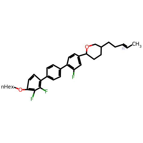 C/C=C/CCC1CCC(c2ccc(-c3ccc(-c4ccc(OCCCCCC)c(F)c4F)cc3)c(F)c2)OC1